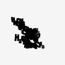 CNc1nc(C)c(-c2nc3n(CC(=O)Nc4ccc(C(F)(F)F)cc4Cl)c4c(c(=O)n3n2)C2(CCN(C(=O)c3ncnc(C)c3O)CC2)CC4C)cc1F